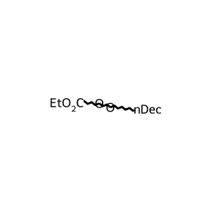 CCCCCCCCCCCCCCCCOCCOCCCCC(=O)OCC